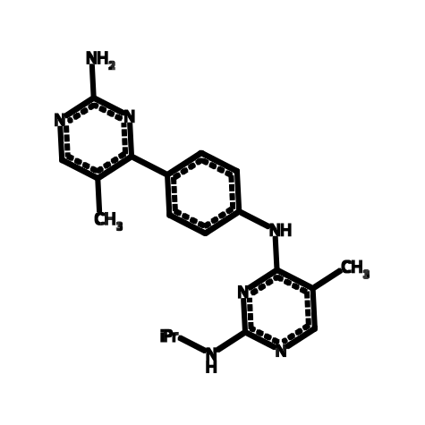 Cc1cnc(NC(C)C)nc1Nc1ccc(-c2nc(N)ncc2C)cc1